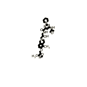 Cc1ncoc1COc1ccc2c(c1C)CCN(CC(O)CNC(=O)c1cc(NC3COC3)nc(N3CCCCC3)n1)C2